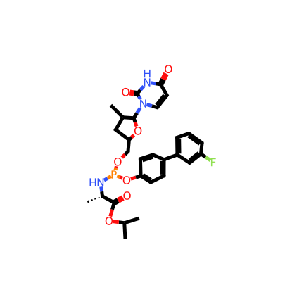 CC(C)OC(=O)[C@H](C)NP(OCC1CC(C)C(n2ccc(=O)[nH]c2=O)O1)Oc1ccc(-c2cccc(F)c2)cc1